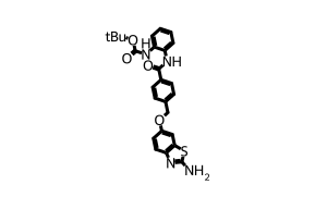 CC(C)(C)OC(=O)Nc1ccccc1NC(=O)c1ccc(COc2ccc3nc(N)sc3c2)cc1